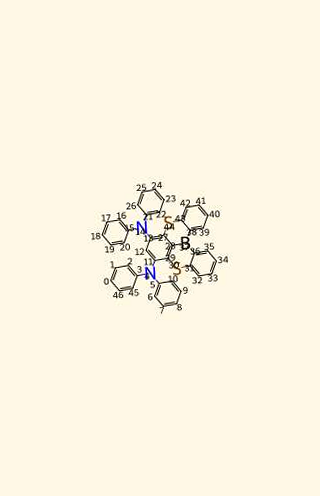 c1ccc(N(c2ccccc2)c2cc(N(c3ccccc3)c3ccccc3)c3c4c2Sc2ccccc2B4c2ccccc2S3)cc1